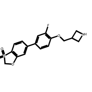 O=S1(=O)COc2cc(-c3ccc(OCC4CNC4)c(F)c3)ccc21